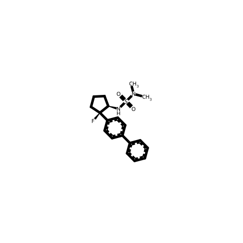 CN(C)S(=O)(=O)N[C@@H]1CCC[C@@]1(F)c1ccc(-c2ccccc2)cc1